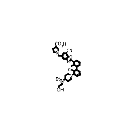 CCN(CCO)C1CCN(c2cccc(-c3cccc(-c4nc5cc(CN6CCC(C(=O)O)C6)cc(C#N)c5o4)c3C)c2Cl)CC1